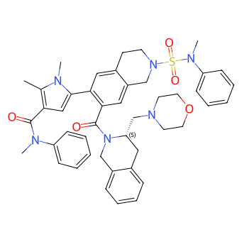 Cc1c(C(=O)N(C)c2ccccc2)cc(-c2cc3c(cc2C(=O)N2Cc4ccccc4C[C@H]2CN2CCOCC2)CN(S(=O)(=O)N(C)c2ccccc2)CC3)n1C